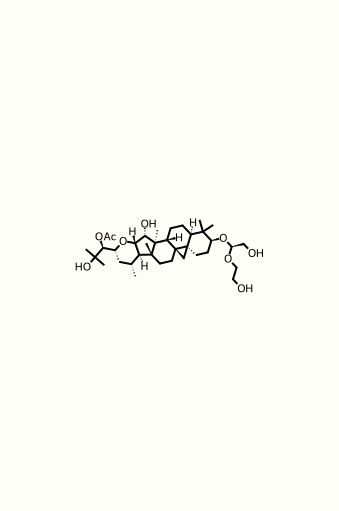 CC(=O)O[C@@H]([C@H]1C[C@@H](C)[C@H]2[C@H](O1)[C@H](O)[C@@]1(C)[C@@H]3CC[C@H]4C(C)(C)[C@@H](O[C@@H](CO)OCCO)CC[C@@]45C[C@@]35CC[C@]21C)C(C)(C)O